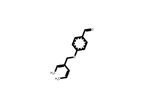 C/C=C\C(=C/C)COc1ccc(C=O)cc1